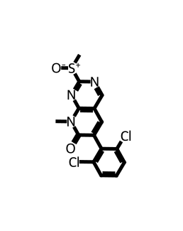 Cn1c(=O)c(-c2c(Cl)cccc2Cl)cc2cnc([S+](C)[O-])nc21